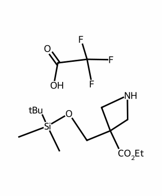 CCOC(=O)C1(CO[Si](C)(C)C(C)(C)C)CNC1.O=C(O)C(F)(F)F